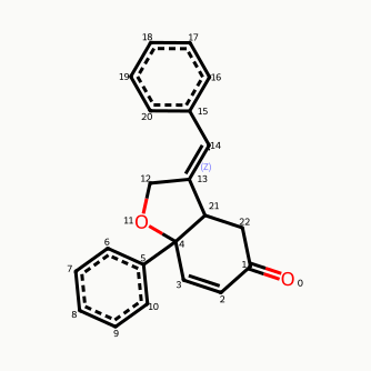 O=C1C=CC2(c3ccccc3)OC/C(=[C]\c3ccccc3)C2C1